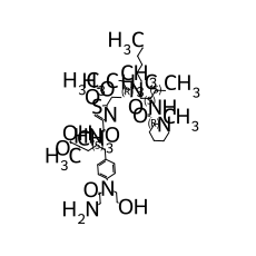 CCCCCCN(C(=O)[C@@H](NC(=O)[C@H]1CCCCN1C)[C@@H](C)CC)[C@H](CC(OC(C)=O)c1nc(C(=O)N[C@@H](Cc2ccc(N(CCO)C(=O)CN)cc2)CC(C)(C)C(=O)O)cs1)C(C)C